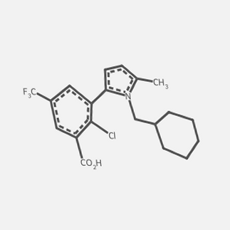 Cc1ccc(-c2cc(C(F)(F)F)cc(C(=O)O)c2Cl)n1CC1CCCCC1